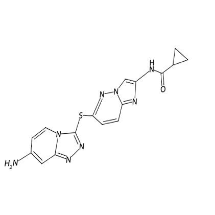 Nc1ccn2c(Sc3ccc4nc(NC(=O)C5CC5)cn4n3)nnc2c1